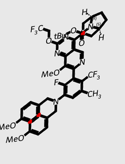 COc1ccc(CN(Cc2ccc(OC)cc2)c2cc(C)c(C(F)(F)F)c(-c3ncc4c(N5C[C@H]6CC[C@@H](C5)N6C(=O)OC(C)(C)C)nc(OCC(F)(F)F)nc4c3OC)c2F)cc1